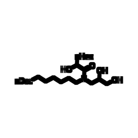 CCCCCCCCCCCCCCCCN(CC(O)CO)C(=O)C(O)CCCCCC